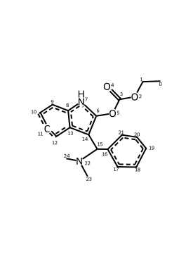 CCOC(=O)Oc1[nH]c2ccccc2c1C(c1ccccc1)N(C)C